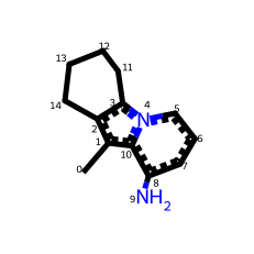 Cc1c2c(n3cccc(N)c13)CCCC2